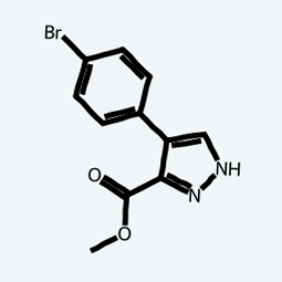 COC(=O)c1n[nH]cc1-c1ccc(Br)cc1